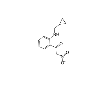 O=C(C[N+](=O)[O-])c1ccccc1NCC1CC1